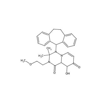 COCCN1C(=O)C2C(O)C(=O)C=CN2N(C2c3ccccc3CCc3ccccc32)C1(C)C